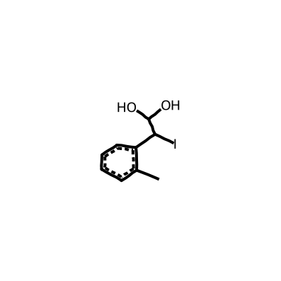 Cc1ccccc1C(I)C(O)O